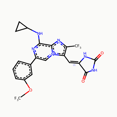 O=C1NC(=O)/C(=C/c2c(C(F)(F)F)nc3c(NC4CC4)nc(-c4cccc(OC(F)(F)F)c4)cn23)N1